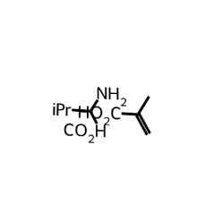 C=C(C)C(=O)O.CC(C)C(N)C(=O)O